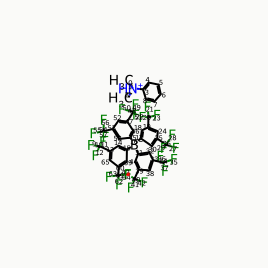 C[NH+](C)c1ccccc1.FC(F)(F)c1cc([B-](c2cc(C(F)(F)F)cc(C(F)(F)F)c2)(c2cc(C(F)(F)F)cc(C(F)(F)F)c2)c2cc(C(F)(F)F)cc(C(F)(F)F)c2)cc(C(F)(F)F)c1